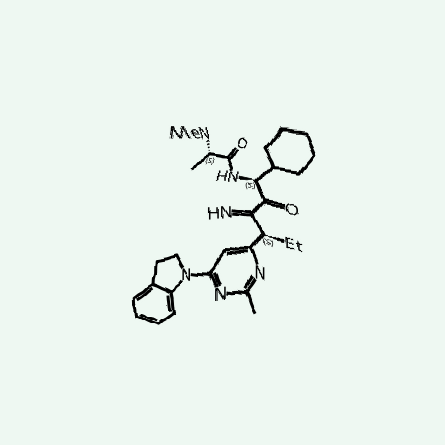 CC[C@H](C(=N)C(=O)[C@@H](NC(=O)[C@H](C)NC)C1CCCCC1)c1cc(N2CCc3ccccc32)nc(C)n1